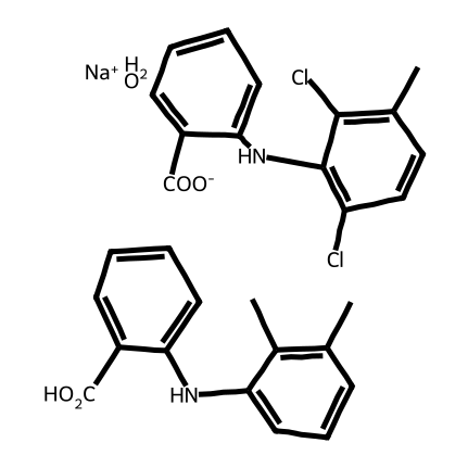 Cc1ccc(Cl)c(Nc2ccccc2C(=O)[O-])c1Cl.Cc1cccc(Nc2ccccc2C(=O)O)c1C.O.[Na+]